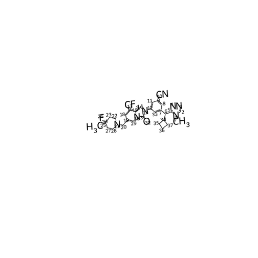 Cn1cnnc1[C@H](c1cc(C#N)cc(-n2cc3c(C(F)(F)F)cc(CN4CCC(C)(F)CC4)cn3c2=O)c1)C1CCC1